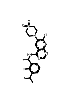 CC(F)c1cccc([C@@H](C)Nc2ncnc3nc(Cl)c(N4CCS(=O)(=O)CC4)cc23)c1F